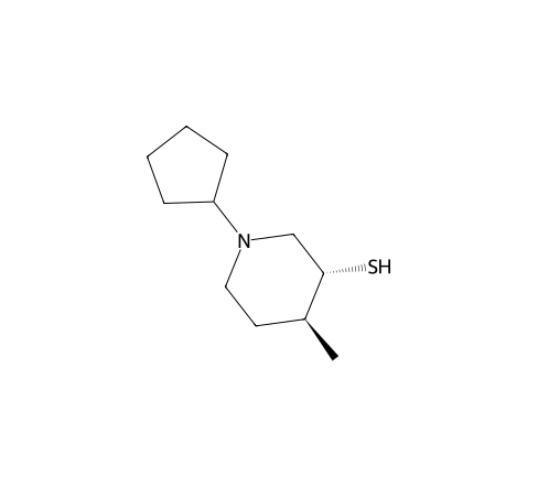 C[C@H]1CCN(C2CCCC2)C[C@@H]1S